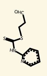 O=CCCSC(=S)Nc1ccccn1